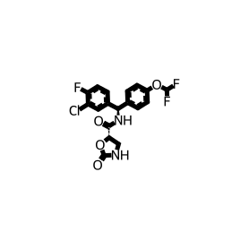 O=C1NC[C@@H](C(=O)N[C@H](c2ccc(OC(F)F)cc2)c2ccc(F)c(Cl)c2)O1